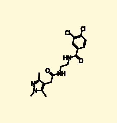 Cc1nn(C)c(C)c1CC(=O)NCCNC(=O)c1ccc(Cl)c(Cl)c1